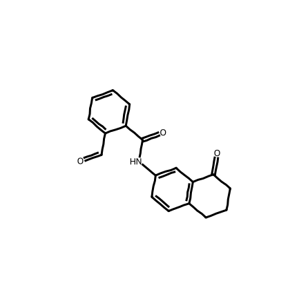 O=Cc1ccccc1C(=O)Nc1ccc2c(c1)C(=O)CCC2